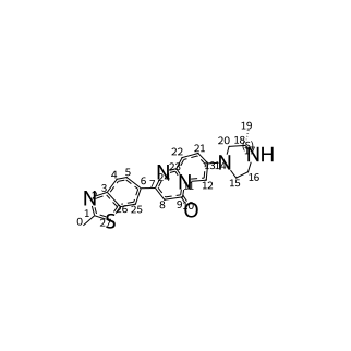 Cc1nc2ccc(-c3cc(=O)n4cc(N5CCN[C@@H](C)C5)ccc4n3)cc2s1